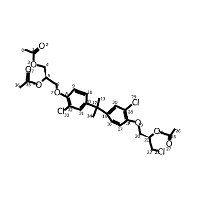 CC(=O)OC[C@@H](COc1ccc(C(C)(C)c2ccc(OC[C@H](CCl)OC(C)=O)c(Cl)c2)cc1Cl)OC(C)=O